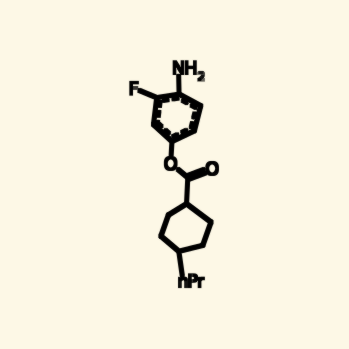 CCCC1CCC(C(=O)Oc2ccc(N)c(F)c2)CC1